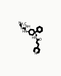 CN/C(=N\C#N)N[C@H]1CC[C@](CNC(=O)/C=C/c2ccncc2)(c2ccccc2)CC1